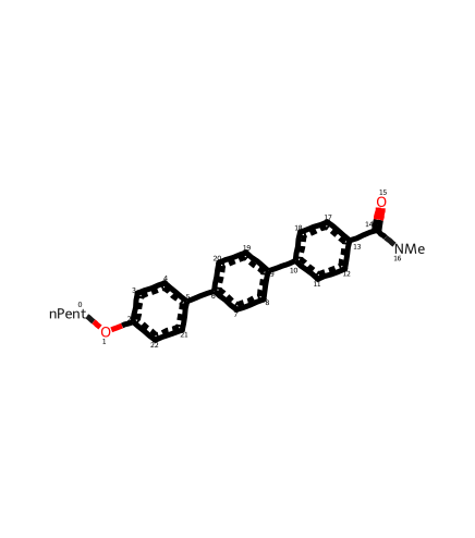 CCCCCOc1ccc(-c2ccc(-c3ccc(C(=O)NC)cc3)cc2)cc1